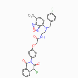 O=C(COc1ccc(N2C(=O)c3ccccc3C(F)C2=O)cc1)NCCN(Cc1ccc(F)cc1)c1ccc([N+](=O)[O-])c2nonc12